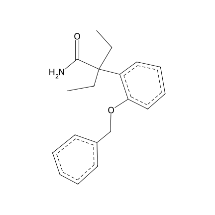 CCC(CC)(C(N)=O)c1ccccc1OCc1ccccc1